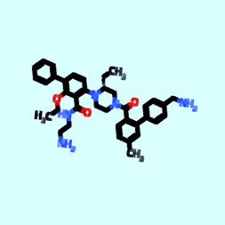 CCOc1c(-c2ccccc2)ccc(N2CCN(C(=O)c3ccc(C)cc3-c3ccc(CN)cc3)C[C@H]2CC)c1C(=O)NCCN